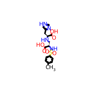 Cc1ccc(S(=O)(=O)N[C@@H](CN[C@@H](Cc2c[nH]cn2)C(=O)O)C(=O)O)cc1